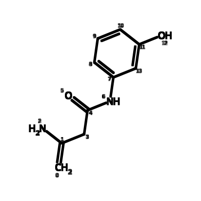 C=C(N)CC(=O)Nc1cccc(O)c1